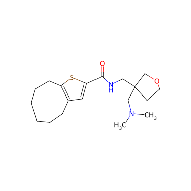 CN(C)CC1(CNC(=O)c2cc3c(s2)CCCCCC3)CCOC1